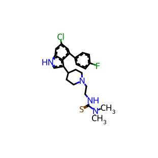 CN(C)C(=S)NCCN1CCC(c2c[nH]c3cc(Cl)cc(-c4ccc(F)cc4)c23)CC1